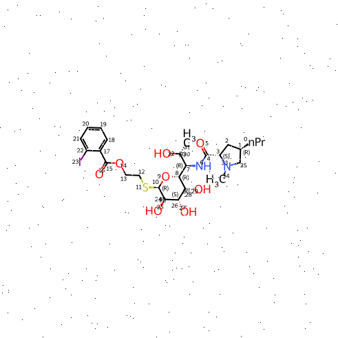 CCC[C@@H]1C[C@@H](C(=O)N[C@@H]([C@H]2O[C@H](SCCOC(=O)c3ccccc3I)[C@H](O)[C@@H](O)[C@H]2O)[C@@H](C)O)N(C)C1